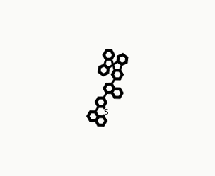 c1ccc2c(c1)-c1ccccc1C21c2ccccc2-c2ccc(-c3ccc(-c4ccc5c(c4)Sc4cccc6cccc-5c46)c4ccccc34)cc21